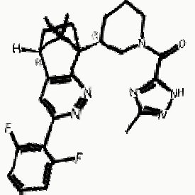 Cc1n[nH]c(C(=O)N2CCC[C@H](C34CC[C@@H](c5cc(-c6c(F)cccc6F)nnc53)C4(C)C)C2)n1